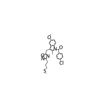 COc1ccc2c(c1)c(Cc1nc(CCCSC)no1)c(C)n2C(=O)c1ccc(Cl)cc1